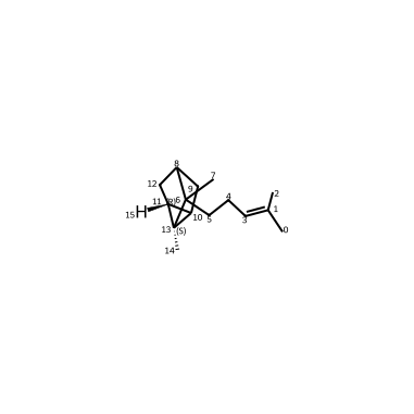 CC(C)=CCCC1(C)C2CC3[C@@H](C2)[C@]31C